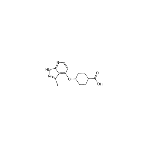 O=C(O)C1CCC(Oc2ccnc3[nH]nc(I)c23)CC1